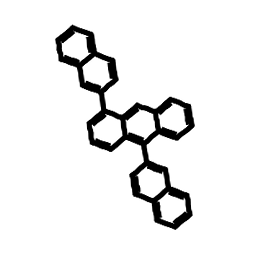 c1ccc2cc(-c3cccc4c(-c5ccc6ccccc6c5)c5ccccc5cc34)ccc2c1